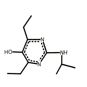 CCc1nc(NC(C)C)nc(CC)c1O